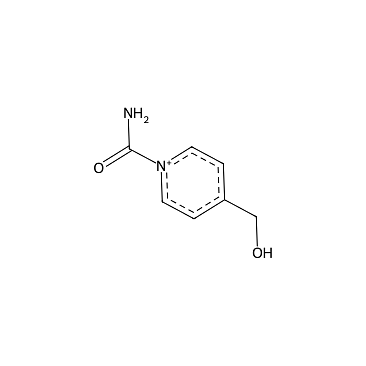 NC(=O)[n+]1ccc(CO)cc1